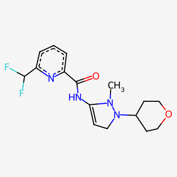 CN1C(NC(=O)c2cccc(C(F)F)n2)=CCN1C1CCOCC1